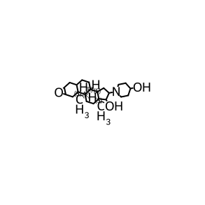 C[C@]12CC3OC3CC1CC[C@@H]1[C@H]2CC[C@]2(C)C(O)C(N3CCC(O)CC3)C[C@@H]12